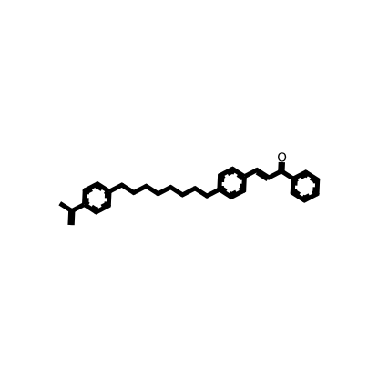 C=C(C)c1ccc(CCCCCCCCc2ccc(C=CC(=O)c3ccccc3)cc2)cc1